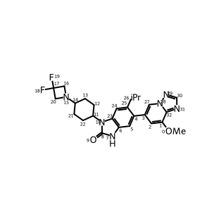 COc1cc(-c2cc3[nH]c(=O)n(C4CCC(N5CC(F)(F)C5)CC4)c3cc2C(C)C)cn2ncnc12